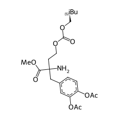 CC[C@H](C)COC(=O)OCCC(N)(Cc1ccc(OC(C)=O)c(OC(C)=O)c1)C(=O)OC